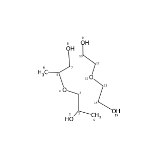 CC(O)COC(C)CO.OCCOCCO